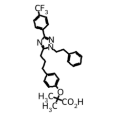 CC(C)(Oc1ccc(CCCc2nc(-c3ccc(C(F)(F)F)cc3)nn2CCc2ccccc2)cc1)C(=O)O